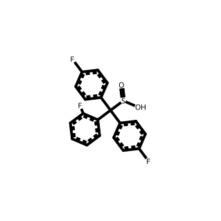 O=S(O)C(c1ccc(F)cc1)(c1ccc(F)cc1)c1ccccc1F